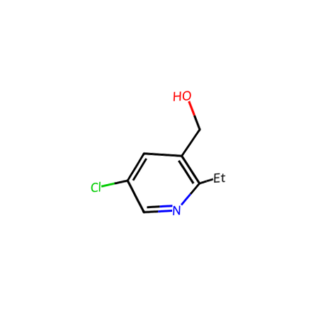 CCc1ncc(Cl)cc1CO